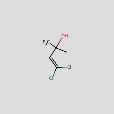 CC(O)(C=C(Cl)Cl)C(F)(F)F